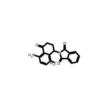 Cc1ccc(N)c2c1C(N1C(=O)c3ccccc3C1=O)CCC2=O